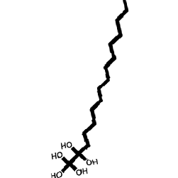 CCCCCCCCCCCCCCC(O)(O)C(O)(O)O